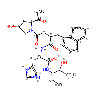 COC(=O)[C@@H]1CC(O)CN1C(=O)CC(Cc1cccc2ccccc12)C(=O)N[C@@H](Cc1c[nH]cn1)C(=O)N[C@@H](CC(C)C)C(O)C(=O)O